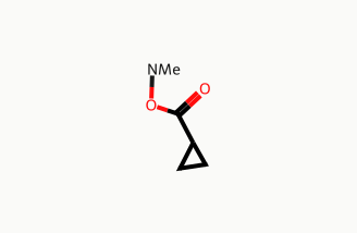 CNOC(=O)C1CC1